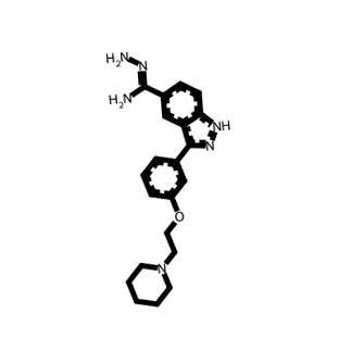 N/N=C(\N)c1ccc2[nH]nc(-c3cccc(OCCN4CCCCC4)c3)c2c1